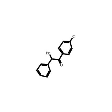 O=C(c1ccc(Cl)cc1)C(Br)c1ccccc1